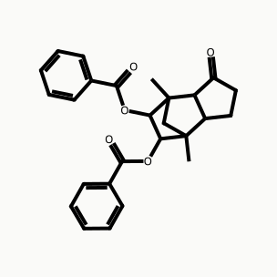 CC12CC(C)(C(OC(=O)c3ccccc3)C1OC(=O)c1ccccc1)C1C(=O)CCC12